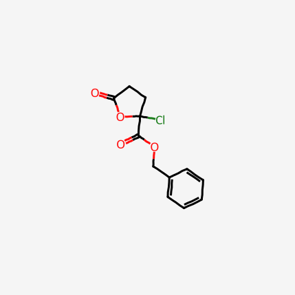 O=C1CCC(Cl)(C(=O)OCc2ccccc2)O1